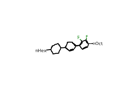 CCCCCCCCc1ccc(C2=CCC(C3CCC(CCCCCC)CC3)C=C2)c(F)c1F